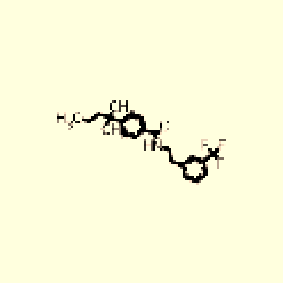 CCCC(C)(C)c1ccc(C(=O)NCCc2cccc(C(F)(F)F)c2)cc1